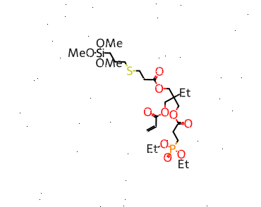 C=CC(=O)OCC(CC)(COC(=O)CCSCCC[Si](OC)(OC)OC)COC(=O)CCP(=O)(OCC)OCC